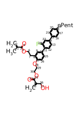 C=C(C)C(=O)OCCc1cc(-c2ccc(-c3ccc(CCCCC)cc3)cc2F)ccc1OCCOC(=O)C(=C)CO